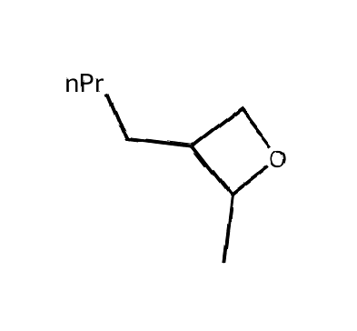 CCCCC1COC1C